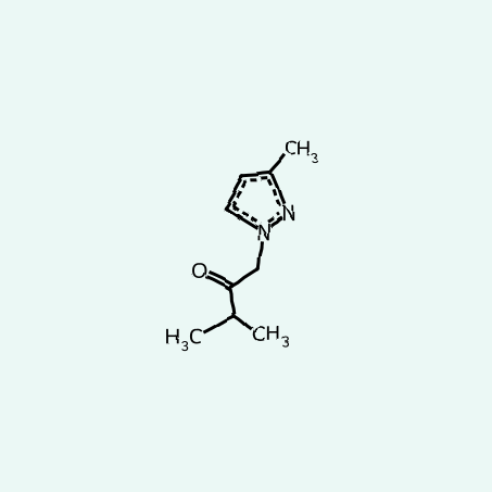 Cc1ccn(CC(=O)C(C)C)n1